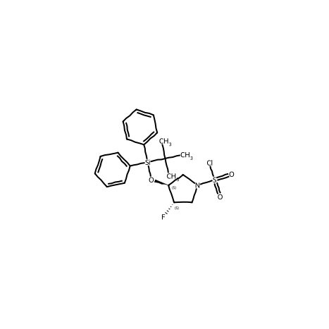 CC(C)(C)[Si](O[C@H]1CN(S(=O)(=O)Cl)C[C@@H]1F)(c1ccccc1)c1ccccc1